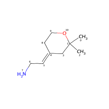 CC1(C)CC(=CCN)CCO1